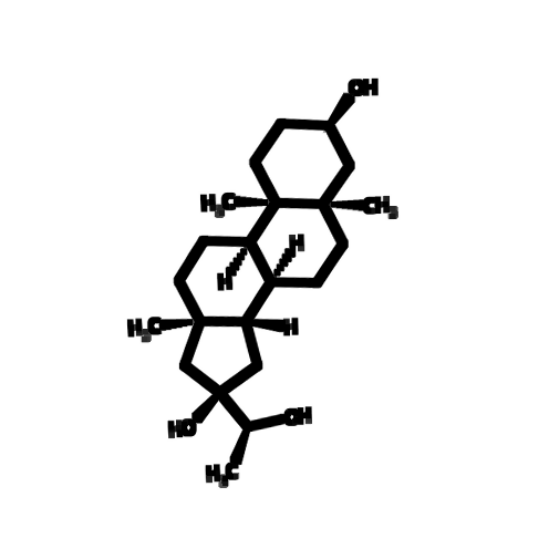 C[C@H](O)[C@@]1(O)C[C@H]2[C@@H]3CC[C@]4(C)C[C@H](O)CC[C@]4(C)[C@@H]3CC[C@]2(C)C1